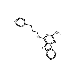 Cc1nc(NCCCc2ccccc2)c2oc3ccccc3c2n1